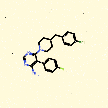 Nc1ncnc(N2CCC(Cc3ccc(Cl)cc3)CC2)c1-c1ccc(F)cc1